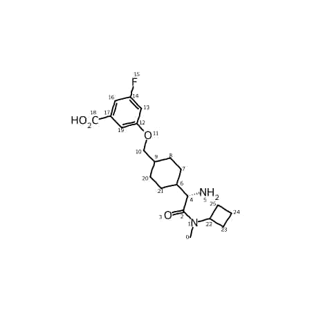 CN(C(=O)[C@@H](N)C1CCC(COc2cc(F)cc(C(=O)O)c2)CC1)C1CCC1